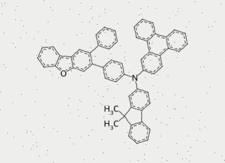 CC1(C)c2ccccc2-c2ccc(N(c3ccc(-c4cc5oc6ccccc6c5cc4-c4ccccc4)cc3)c3ccc4c5ccccc5c5ccccc5c4c3)cc21